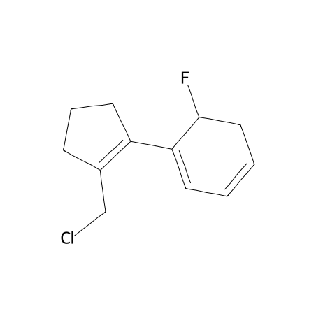 FC1CC=CC=C1C1=C(CCl)CCC1